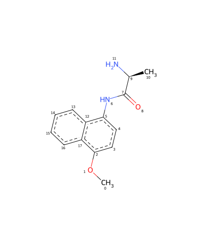 COc1ccc(NC(=O)[C@H](C)N)c2ccccc12